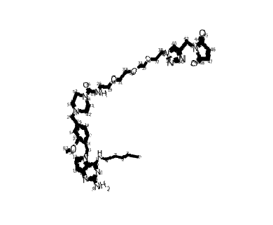 CCCCCNc1nc(N)nc2ccn(Cc3ccc(CN4CCN(C(=O)NCCOCCOCCOCCn5cc(CN6C(=O)C=CC6=O)nn5)CC4)cc3OC)c12